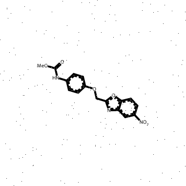 COC(=O)Nc1ccc(OCc2nc3cc([N+](=O)[O-])ccc3o2)cc1